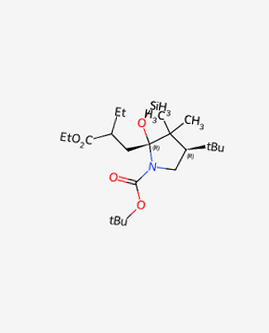 CCOC(=O)C(CC)C[C@]1(O[SiH3])N(C(=O)OC(C)(C)C)C[C@H](C(C)(C)C)C1(C)C